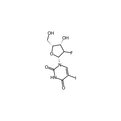 O=c1[nH]c(=O)n([C@@H]2O[C@H](CO)[C@H](O)C2F)cc1I